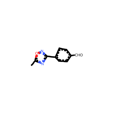 Cc1nc(-c2ccc(C=O)cc2)no1